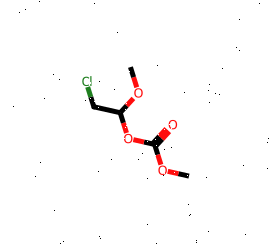 COC(=O)OC(CCl)OC